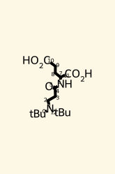 CC(C)(C)N(CCC(=O)NC(CCC(=O)O)C(=O)O)C(C)(C)C